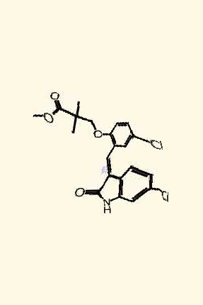 COC(=O)C(C)(C)COc1ccc(Cl)cc1/C=C1/C(=O)Nc2cc(Cl)ccc21